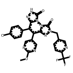 COc1ncc(-c2c(-c3ccc(Cl)cc3)c3n[nH]c(=O)n3n3c(=O)n(Cc4ccc(C(F)(F)F)nc4)nc23)cn1